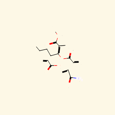 C=CC(=O)O.C=CC(=O)OC(CCCC)=C(C)C(=O)OC.C=CC(N)=O